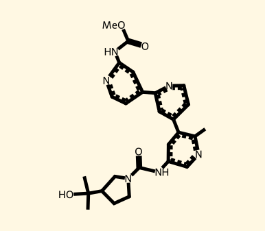 COC(=O)Nc1cc(-c2cc(-c3cc(NC(=O)N4CCC(C(C)(C)O)C4)cnc3C)ccn2)ccn1